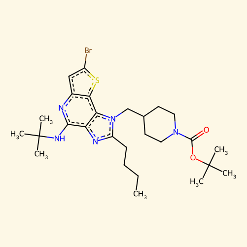 CCCCc1nc2c(NC(C)(C)C)nc3cc(Br)sc3c2n1CC1CCN(C(=O)OC(C)(C)C)CC1